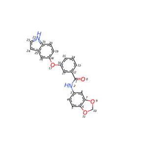 O=C(Nc1ccc2c(c1)OCO2)c1cccc(Oc2ccc3[nH]ccc3c2)c1